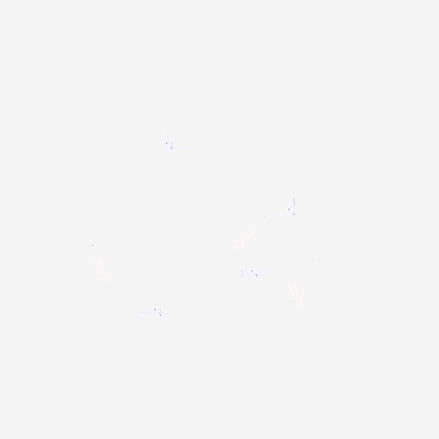 NCCCNC(=O)[C@@H](Cc1ccc2ccccc2c1)NC(=O)CCCN1C=CSC(C2=CC=CC(=O)C2)=C1